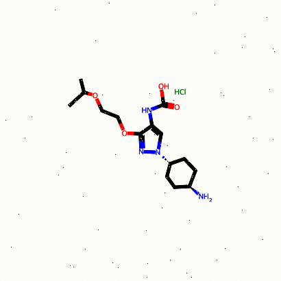 CC(C)OCCOc1nn([C@H]2CC[C@H](N)CC2)cc1NC(=O)O.Cl